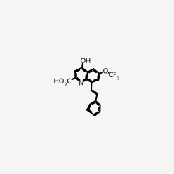 O=C(O)c1cc(O)c2cc(OC(F)(F)F)cc(/C=C/c3ccccc3)c2n1